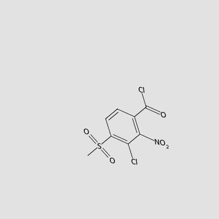 CS(=O)(=O)c1ccc(C(=O)Cl)c([N+](=O)[O-])c1Cl